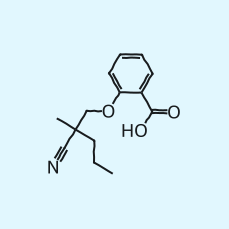 CCCC(C)(C#N)COc1ccccc1C(=O)O